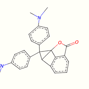 CN(C)c1ccc(C2(c3ccc(N(C)C)cc3)C3c4cccc5c4C32OC5=O)cc1